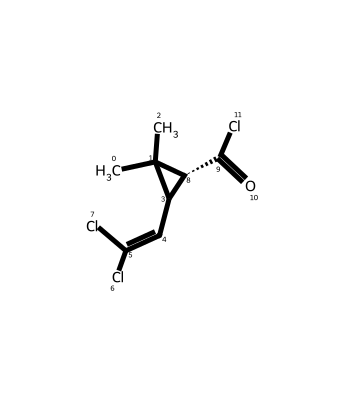 CC1(C)C(C=C(Cl)Cl)[C@H]1C(=O)Cl